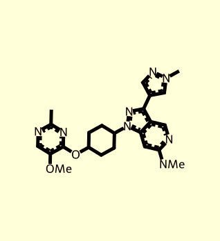 CNc1cc2c(cn1)c(-c1cnn(C)c1)nn2C1CCC(Oc2nc(C)ncc2OC)CC1